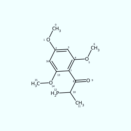 COc1cc(OC)c(C(=O)C(C)P)c(OC)c1